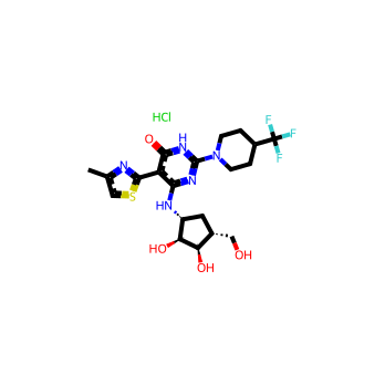 Cc1csc(-c2c(N[C@@H]3C[C@H](CO)[C@@H](O)[C@H]3O)nc(N3CCC(C(F)(F)F)CC3)[nH]c2=O)n1.Cl